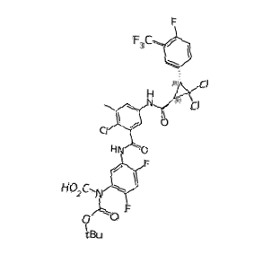 Cc1cc(NC(=O)[C@H]2[C@H](c3ccc(F)c(C(F)(F)F)c3)C2(Cl)Cl)cc(C(=O)Nc2cc(N(C(=O)O)C(=O)OC(C)(C)C)c(F)cc2F)c1Cl